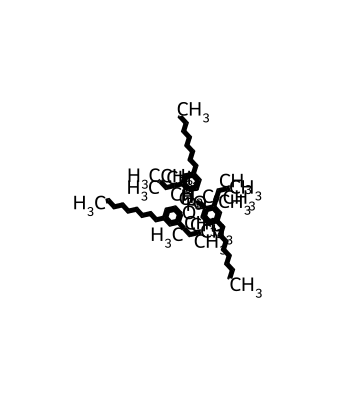 CCCCCCCCCc1ccc(OP(Oc2ccc(CCCCCCCCC)cc2C(C)(C)CC(C)(C)C)Oc2ccc(CCCCCCCCC)cc2C(C)(C)CC(C)(C)C)c(C(C)(C)CC(C)(C)C)c1